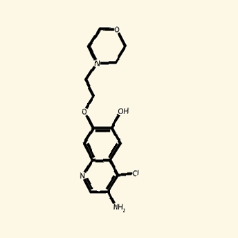 Nc1cnc2cc(OCCN3CCOCC3)c(O)cc2c1Cl